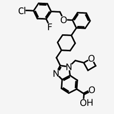 O=C(O)c1ccc2nc(CC3CCC(c4ccccc4OCc4ccc(Cl)cc4F)CC3)n(CC3CCO3)c2c1